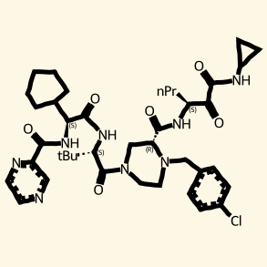 CCC[C@H](NC(=O)[C@H]1CN(C(=O)[C@@H](NC(=O)[C@@H](NC(=O)c2cnccn2)C2CCCCC2)C(C)(C)C)CCN1Cc1ccc(Cl)cc1)C(=O)C(=O)NC1CC1